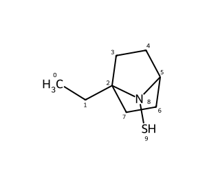 CCC12CCC(CC1)N2S